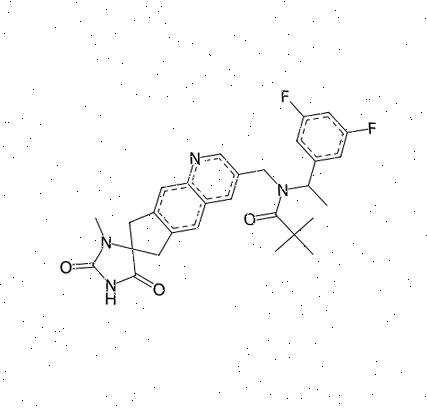 CC(c1cc(F)cc(F)c1)N(Cc1cnc2cc3c(cc2c1)CC1(C3)C(=O)NC(=O)N1C)C(=O)C(C)(C)C